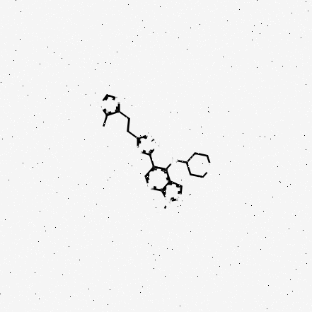 CCn1ncc2c(NC3CCOCC3)c(-c3nnc(CCc4scnc4C)o3)cnc21